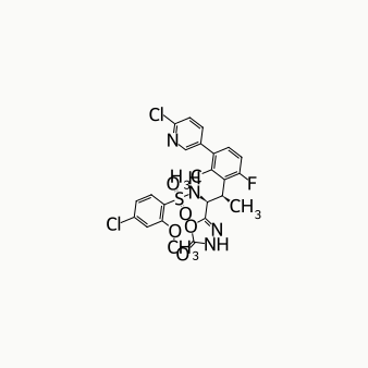 COc1cc(Cl)ccc1S(=O)(=O)N[C@H](c1n[nH]c(=O)o1)[C@H](C)c1c(F)ccc(-c2ccc(Cl)nc2)c1C